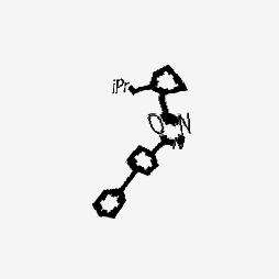 CC(C)Cc1ccccc1-c1nnc(-c2ccc(-c3ccccc3)cc2)o1